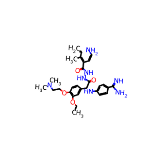 C=C/C(C)=C(\C=C/N)C(=O)NNC(=O)C(Nc1ccc(C(=N)N)cc1)c1ccc(OCCN(C)C)c(OCC)c1